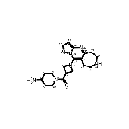 NC1CCN(C(=O)C2CN(c3c4c(nc5ccnn35)CCNCC4)C2)CC1